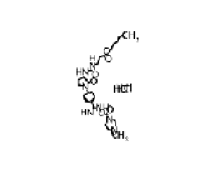 CCCCCOC(=O)CCNC(=O)N[C@H]1CCN(c2ccc(C(=N)NOC(=O)N3CCN(C)CC3)cc2)C1=O.Cl.Cl